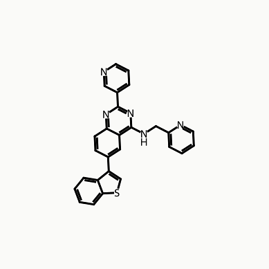 c1ccc(CNc2nc(-c3cccnc3)nc3ccc(-c4csc5ccccc45)cc23)nc1